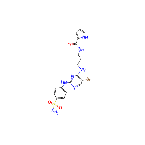 NS(=O)(=O)c1ccc(Nc2ncc(Br)c(NCCCNC(=O)c3ccc[nH]3)n2)cc1